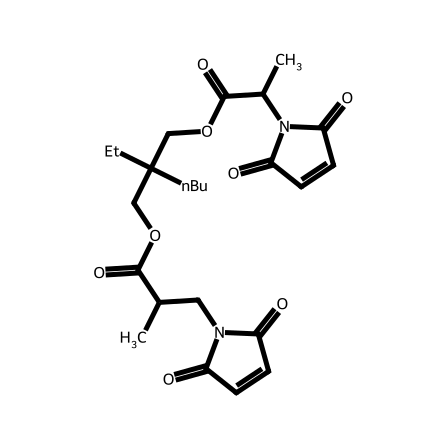 CCCCC(CC)(COC(=O)C(C)CN1C(=O)C=CC1=O)COC(=O)C(C)N1C(=O)C=CC1=O